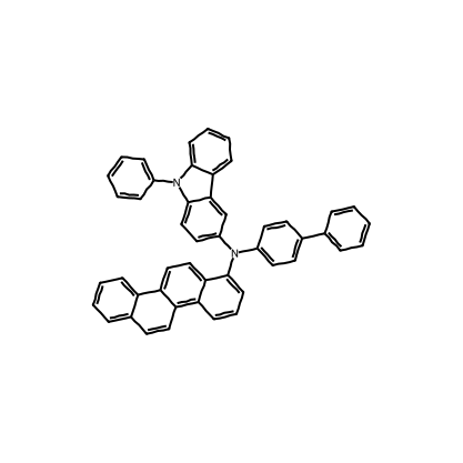 c1ccc(-c2ccc(N(c3ccc4c(c3)c3ccccc3n4-c3ccccc3)c3cccc4c3ccc3c5ccccc5ccc43)cc2)cc1